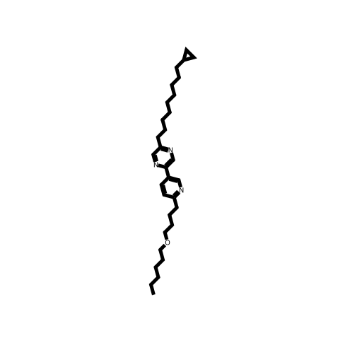 CCCCCCOCCCCc1ccc(-c2cnc(CCCCCCCCCC3CC3)cn2)cn1